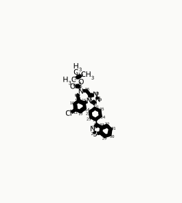 CC(C)(C)OC(=O)N1Cc2cc(Cl)ccc2-n2c(nnc2[C@H]2CC[C@H](c3nsc4ccccc43)CC2)C1